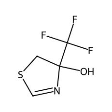 OC1(C(F)(F)F)CSC=N1